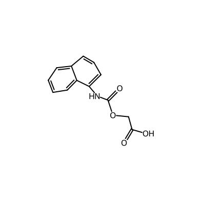 O=C(O)COC(=O)Nc1cccc2ccccc12